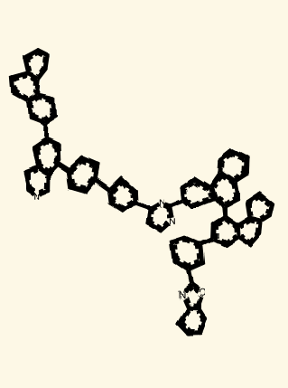 c1cc(-c2cc(-c3cc4ccccc4c4ccc(-c5nccc(-c6ccc(-c7ccc(-c8cc(-c9ccc%10c(ccc%11ccccc%11%10)c9)cc9ccncc89)cc7)cc6)n5)cc34)c3c(ccc4ccccc43)c2)cc(-c2nc3ccccc3o2)c1